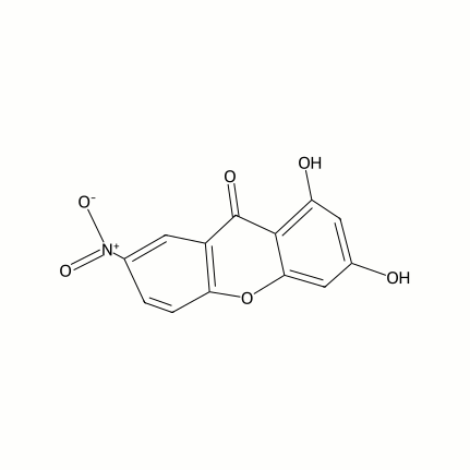 O=c1c2cc([N+](=O)[O-])ccc2oc2cc(O)cc(O)c12